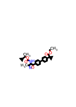 CCOC(=O)C1(c2ccc(-c3ccc(-c4onc(C)c4NC(=O)O[C@H](C)C4CC4)cc3)cc2)C=C1